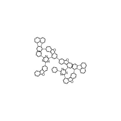 c1ccc(-c2nc(-c3ccc4oc5ccccc5c4c3)nc(-c3cc(-c4ccc5c(c4)oc4cccc(-c6nc(-c7ccccc7)nc(-c7cccc8oc9ccc(-c%10cccc%11c%10-c%10cccc%12cccc-%11c%10%12)cc9c78)n6)c45)cc4oc5ccc(-c6cccc7c6-c6cccc8cccc-7c68)cc5c34)n2)cc1